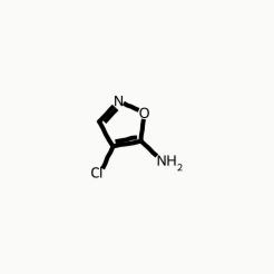 Nc1oncc1Cl